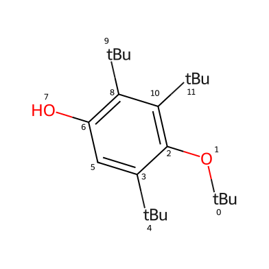 CC(C)(C)Oc1c(C(C)(C)C)cc(O)c(C(C)(C)C)c1C(C)(C)C